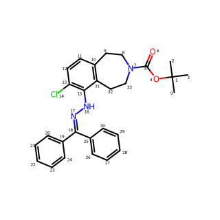 CC(C)(C)OC(=O)N1CCc2ccc(Cl)c(NN=C(c3ccccc3)c3ccccc3)c2CC1